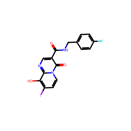 O=C(NCc1ccc(F)cc1)c1cnc2c(O)c(I)ccn2c1=O